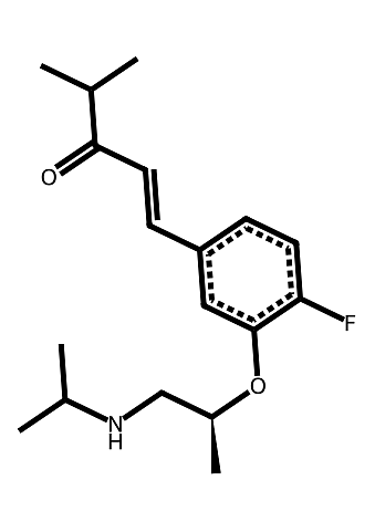 CC(C)NC[C@H](C)Oc1cc(/C=C/C(=O)C(C)C)ccc1F